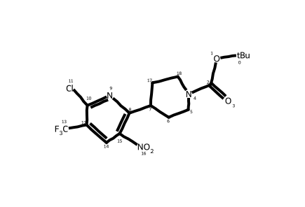 CC(C)(C)OC(=O)N1CCC(c2nc(Cl)c(C(F)(F)F)cc2[N+](=O)[O-])CC1